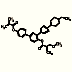 C=C(C)C(=O)Oc1ccc(-c2ccc(OC(=O)C(=C)COC)c(-c3ccc(C4CCC(CC)CC4)cc3)c2)cc1